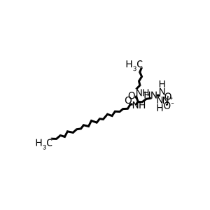 CCCCCCCCCCCCCCCCCCCCCC(=O)NC(CCCNC(=N)N[N+](=O)[O-])C(=O)NCCCCCCC